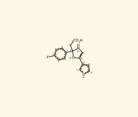 O=C(O)CC1(c2ccc(F)cc2)NC=C(c2ccoc2)O1